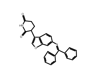 O=C1CCC(c2coc3cc(N=C(c4ccccc4)c4ccccc4)ccc23)C(=O)N1